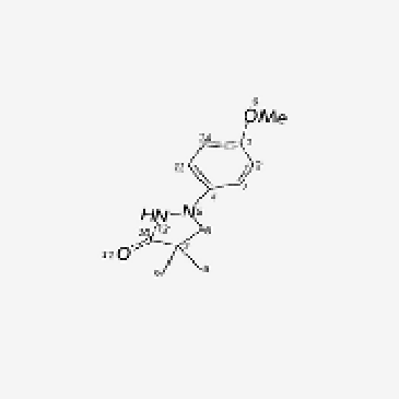 COc1ccc(N2CC(C)(C)C(=O)N2)cc1